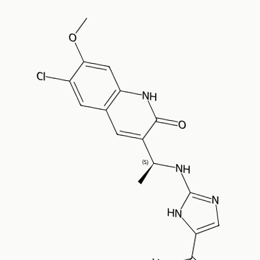 COc1cc2[nH]c(=O)c([C@H](C)Nc3ncc(C(N)=O)[nH]3)cc2cc1Cl